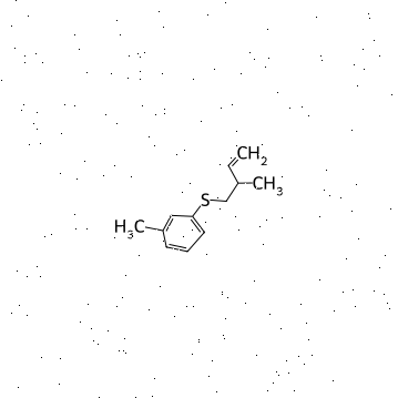 C=CC(C)CSc1cccc(C)c1